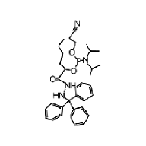 CCCCC(OP(OCCC#N)N(C(C)C)C(C)C)C(=O)NNC(c1ccccc1)(c1ccccc1)c1ccccc1